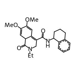 CCN1CC(C(=O)NC2CCCc3ccccc32)=C2C=C(OC)C(OC)=CC2C1=O